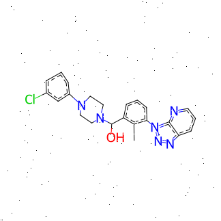 Cc1c(C(O)N2CCN(c3cccc(Cl)c3)CC2)cccc1-n1nnc2cccnc21